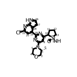 C[C@@H]1COCCN1c1cc(C2CCCS2(=N)=O)nc(-c2cc(Cl)nc3[nH]ccc23)n1